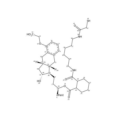 CCCCC[C@@H](CC[C@@H]1[C@H]2Cc3cccc(OCC(=O)O)c3C[C@H]2C[C@H]1O)OC(=O)C1CCCCC1C(=O)NCCCCCCNC(=O)CS